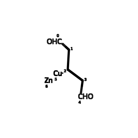 O=CCCCC=O.[Cu].[Zn]